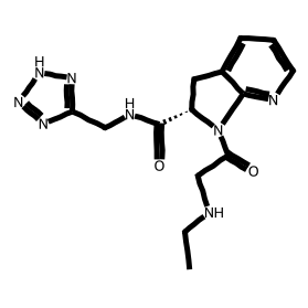 CCNCC(=O)N1c2ncccc2C[C@H]1C(=O)NCc1nn[nH]n1